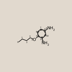 CCCCOc1ccc(N)cc1N